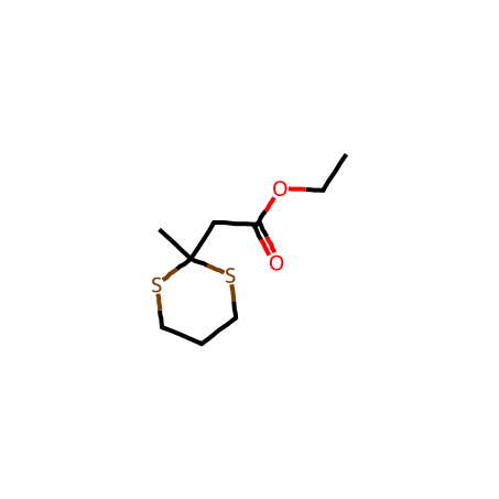 CCOC(=O)CC1(C)SCCCS1